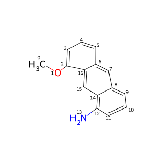 COc1cccc2cc3cccc(N)c3cc12